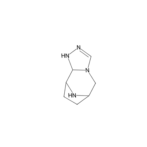 C1=NNC2C3CCC(CN12)N3